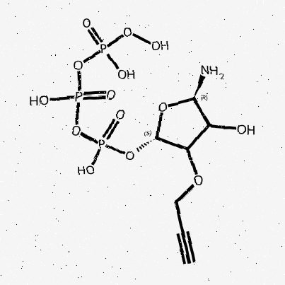 C#CCOC1C(O)[C@H](N)O[C@H]1OP(=O)(O)OP(=O)(O)OP(=O)(O)OO